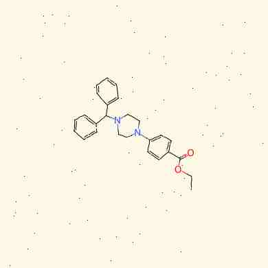 CCOC(=O)c1ccc(N2CCN(C(c3ccccc3)c3ccccc3)CC2)cc1